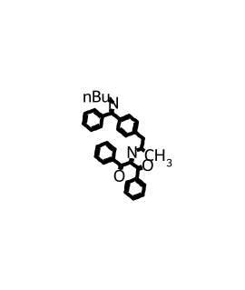 CCCC/N=C(\c1ccccc1)c1ccc(CC(C)N=C(C(=O)c2ccccc2)C(=O)c2ccccc2)cc1